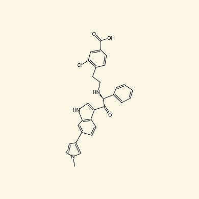 Cn1cc(-c2ccc3c(C(=O)[C@@H](NCCc4ccc(C(=O)O)cc4Cl)c4ccccc4)c[nH]c3c2)cn1